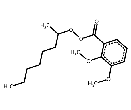 CCCCCC[C](C)OOC(=O)c1cccc(OC)c1OC